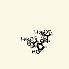 O=S(=O)(O)C(CF)CF.O=S(=O)(O)C(CF)CF.Oc1ccc(O)cc1